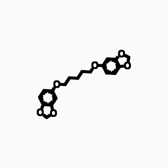 c1cc2c(cc1OCCCCCOc1ccc3c(c1)OCO3)OCO2